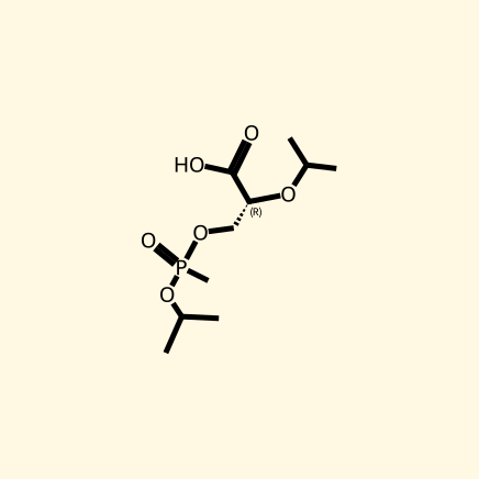 CC(C)O[C@H](COP(C)(=O)OC(C)C)C(=O)O